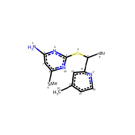 CCCCC(Sc1nc(N)cc(SC)n1)c1cc(C)ccn1